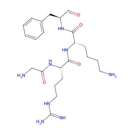 N=C(N)NCCC[C@H](NC(=O)CN)C(=O)N[C@@H](CCCCN)C(=O)N[C@H]([C]=O)Cc1ccccc1